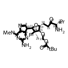 CNc1nc(N)nc2c1N=CC2C1O[C@H](CCC(=O)[C@@H](N)C(C)C)[C@@H](OCOC(=O)C(C)(C)C)[C@@]1(C)F